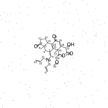 C=CCN(C=C1CC2(C)C(=O)CCC2C2=C1C1(C)C(=CC2=O)[C@H](O)C(=O)OC1COC)CC=C